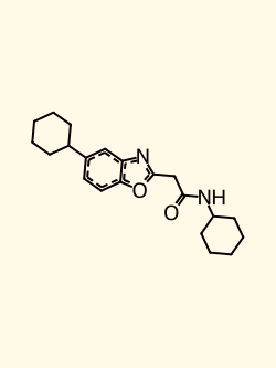 O=C(Cc1nc2cc(C3CCCCC3)ccc2o1)NC1CCCCC1